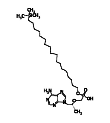 C[C@H](Cn1cnc2c(N)ncnc21)OCP(=O)(O)OCCCCCCCCCCCCCCCCCC[Si](C)(C)C